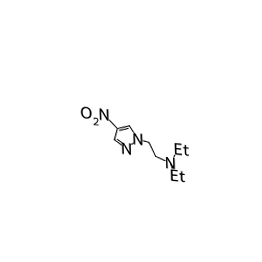 CCN(CC)CCn1cc([N+](=O)[O-])cn1